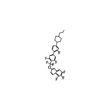 CCCC1CCC(c2ccc(-c3cc(F)c(C(F)(F)Oc4ccc5c(F)c(F)c(F)cc5c4)c(F)c3)c(F)c2)CC1